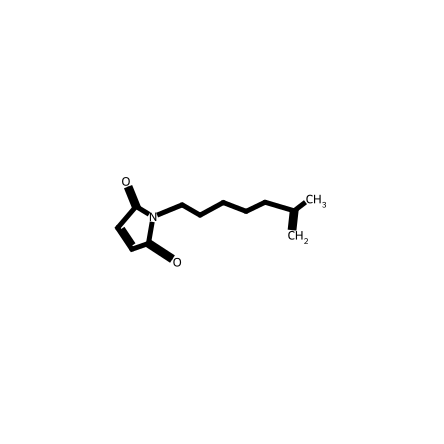 C=C(C)CCCCCN1C(=O)C=CC1=O